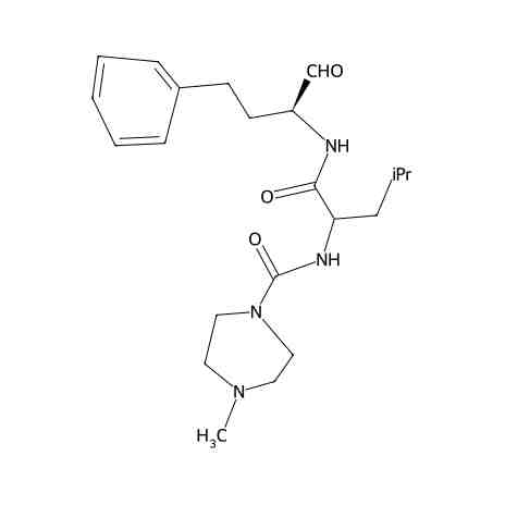 CC(C)CC(NC(=O)N1CCN(C)CC1)C(=O)N[C@H](C=O)CCc1ccccc1